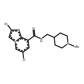 CCCCN1CCC(CNC(=O)c2cc(Cl)cn3cc(CC)nc23)CC1